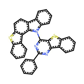 c1ccc(-c2nc(-n3c4ccccc4c4ccc5sc6ccccc6c5c43)c3sc4ccccc4c3n2)cc1